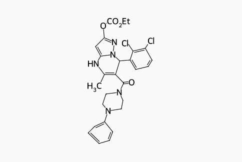 CCOC(=O)Oc1cc2n(n1)C(c1cccc(Cl)c1Cl)C(C(=O)N1CCN(c3ccccc3)CC1)=C(C)N2